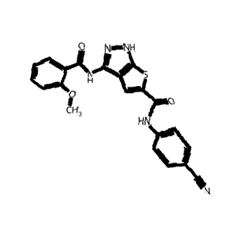 COc1ccccc1C(=O)Nc1n[nH]c2sc(C(=O)Nc3ccc(C#N)cc3)cc12